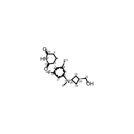 CN(c1cc(F)c([C@H]2CCC(=O)NC2=O)c(F)c1)[C@H]1C[C@H](CO)C1